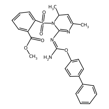 COC(=O)c1ccccc1S(=O)(=O)N1C(N=C(N)Oc2ccc(-c3ccccc3)cc2)=NC(C)=CC1C